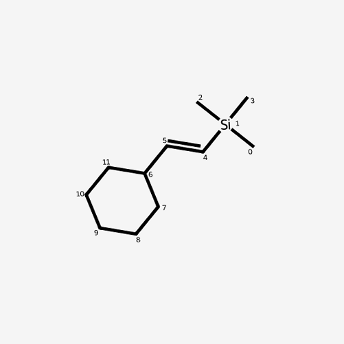 C[Si](C)(C)C=CC1CCCCC1